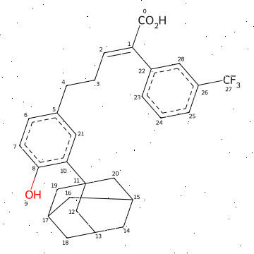 O=C(O)C(=CCCc1ccc(O)c(C23CC4CC(CC(C4)C2)C3)c1)c1cccc(C(F)(F)F)c1